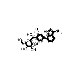 Cc1cc(-c2cccc3c(N)n[nH]c23)ccc1[C@@H](O)[C@H]1O[C@H](CO)[C@@H](O)[C@H](O)[C@@H]1O